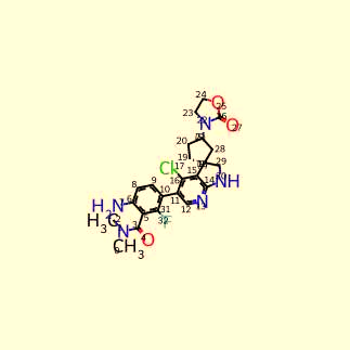 CN(C)C(=O)c1c(N)ccc(-c2cnc3c(c2Cl)[C@]2(CC[C@H](N4CCOC4=O)C2)CN3)c1F